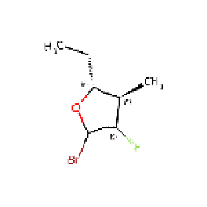 CC[C@H]1OC(Br)[C@@H](F)[C@@H]1C